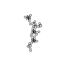 c1ccc(-c2nc(-c3ccccc3)nc(-c3ccc(-c4cccc5c(-c6cc7ccc(-c8nc(-c9ccccc9)nc(-c9cc%10ccccc%10c%10ccc(-c%11ccc%12c(-c%13nc(-c%14ccccc%14)nc(-c%14ccc%15c(ccc%16c%17cccc(-c%18ccc%19ccccc%19c%18)c%17oc%15%16)c%14)n%13)cc%13ccccc%13c%12c%11)cc9%10)n8)cc7c7oc8c(-c9cccc%10oc%11ccccc%11c9%10)cccc8c67)c6sc7ccccc7c6cc45)cc3)n2)cc1